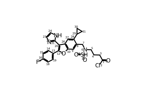 O=C(Cl)CCCN(Cc1cc2oc(-c3ccc(F)cc3)c(-c3ncc[nH]3)c2cc1C1CC1)[SH](=O)=O